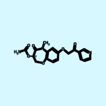 CN1C(=O)[C@@H](OC(N)=O)COc2ccc(OCC(=O)c3cccnc3)cc21